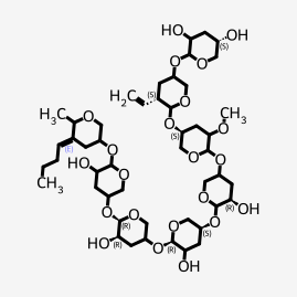 C=C[C@@H]1CC(OC2OC[C@@H](O)CC2O)COC1O[C@@H]1COC(OC2COC(O[C@@H]3CO[C@H](OC4CO[C@H](OC5COC(OC6COC(C)/C(=C/CCC)C6)C(O)C5)[C@H](O)C4)C(O)C3)[C@H](O)C2)C(OC)C1